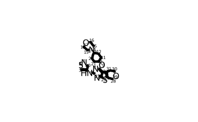 c1nscc1Nc1nc(O[C@H]2CC[C@H](N3CCOCC3)CC2)c2c3c(sc2n1)COCC3